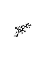 CC1(C)C(=O)C(C(=O)NCC(=O)O)=C(O)c2cc(-c3ccc(F)cc3)ccc21